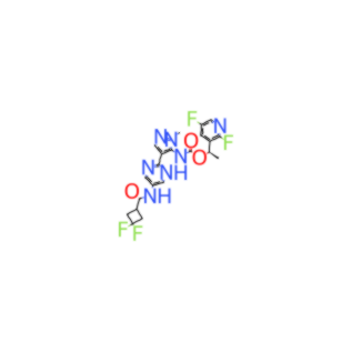 C[C@@H](OC(=O)Nc1c(-c2ncc(NC(=O)C3CC(F)(F)C3)cn2)cnn1C)c1cc(F)cnc1F